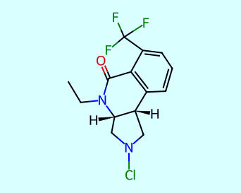 CCN1C(=O)c2c(cccc2C(F)(F)F)[C@@H]2CN(Cl)C[C@@H]21